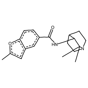 Cc1cc2cc(C(=O)NC3C4CCN(CC4)C3(C)C)ccc2o1